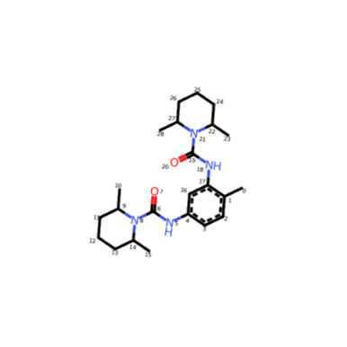 Cc1ccc(NC(=O)N2C(C)CCCC2C)cc1NC(=O)N1C(C)CCCC1C